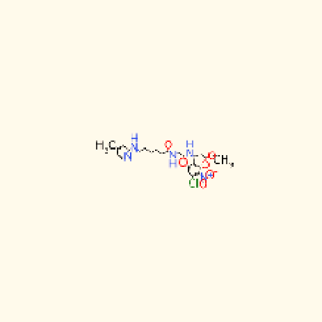 COC(=O)CC(NC(=O)CNC(=O)CCCCCNc1cc(C)ccn1)c1ccc(Cl)c([N+](=O)[O-])c1